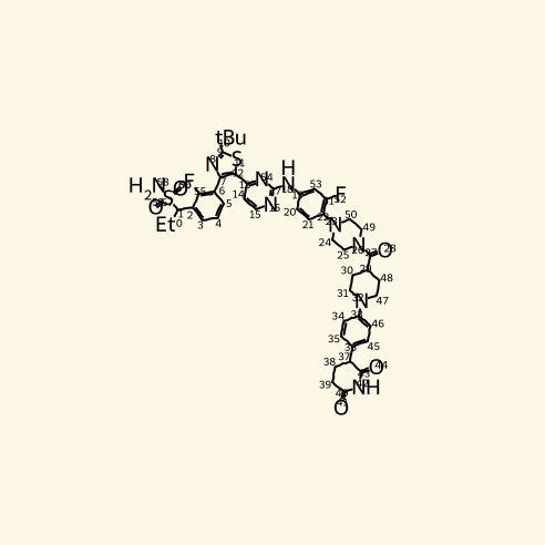 CCC(c1cccc(-c2nc(C(C)(C)C)sc2-c2ccnc(Nc3ccc(N4CCN(C(=O)C5CCN(c6ccc(C7CCC(=O)NC7=O)cc6)CC5)CC4)c(F)c3)n2)c1F)S(N)(=O)=O